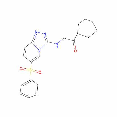 O=C(CNc1nnc2ccc(S(=O)(=O)c3ccccc3)cn12)C1CCCCC1